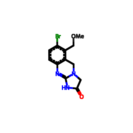 COCc1c(Br)ccc2c1CN1CC(=O)NC1=N2